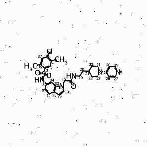 Cc1cc(S(=O)(=O)Nc2ccc3ccn(CC(=O)NCCC4CCN(c5ccncc5)CC4)c3c2)c(C)cc1Cl